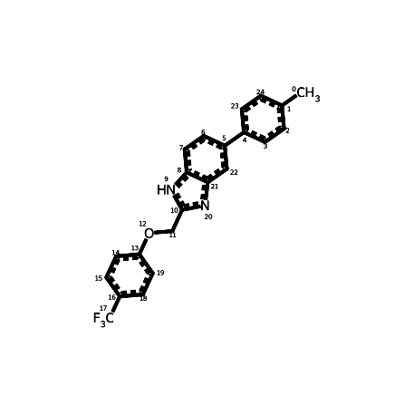 Cc1ccc(-c2ccc3[nH]c(COc4ccc(C(F)(F)F)cc4)nc3c2)cc1